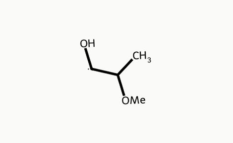 COC(C)[CH]O